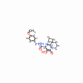 COc1ccc(CNC(=O)c2nc3n(c(=O)c2O)CCCC32CCC2)cc1